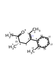 C/C=C(/C[C@H](C)C(N)=O)c1ccccc1C